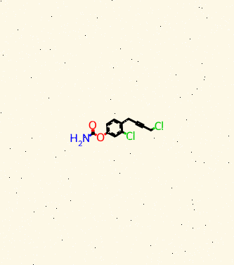 NC(=O)Oc1ccc(CC#CCCl)c(Cl)c1